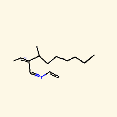 C=C/N=C\C(=C/C)C(C)CCCCCC